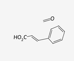 C=O.O=C(O)C=Cc1ccccc1